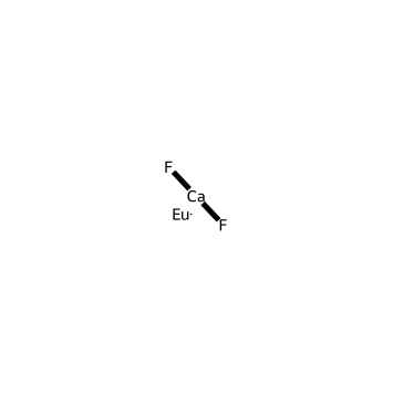 [Eu].[F][Ca][F]